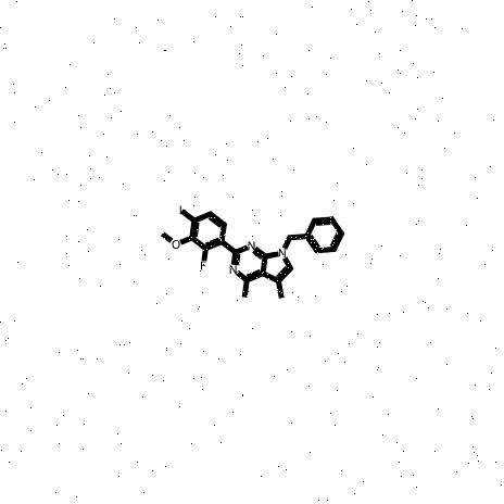 COc1c(I)ccc(-c2nc(C)c3c(C)cn(Cc4ccccc4)c3n2)c1F